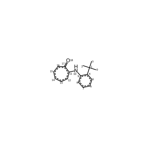 CC(C)(C)c1ccccc1Nc1cccccc1=O